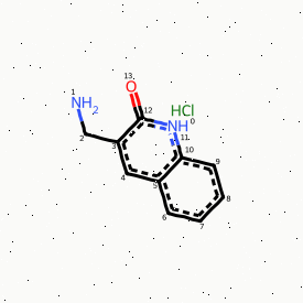 Cl.NCc1cc2ccccc2[nH]c1=O